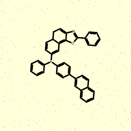 C1=CC2CC=c3nc(-c4ccccc4)oc3=C2C=C1N(c1ccccc1)c1ccc(-c2ccc3ccccc3c2)cc1